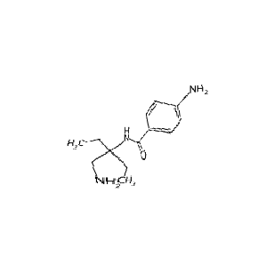 CCC(CC)(CN)NC(=O)c1ccc(N)cc1